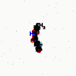 Cc1ccc(S(=O)(=O)NC[C@H]2CN(c3ccc(N4CCOCC4)c(F)c3)C(=O)O2)cc1